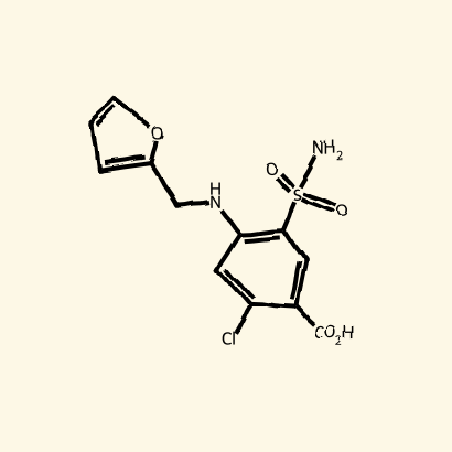 NS(=O)(=O)c1cc(C(=O)O)c(Cl)cc1NCc1ccco1